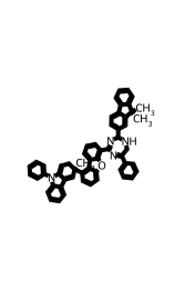 CC1(c2cccc3oc4c(C5=NC(c6ccc7c(c6)C(C)(C)c6ccccc6-7)NCC(c6ccccc6)=N5)cccc4c23)C=c2c(n(-c3ccccc3)c3ccccc23)=CC1